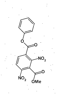 COC(=O)c1c([N+](=O)[O-])ccc(C(=O)Oc2ccccc2)c1[N+](=O)[O-]